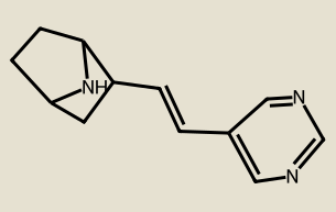 C(=CC1CC2CCC1N2)c1cncnc1